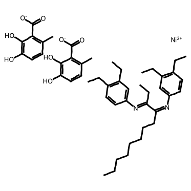 CCCCCCCCC(=Nc1ccc(CC)c(CC)c1)C(CC)=Nc1ccc(CC)c(CC)c1.Cc1ccc(O)c(O)c1C(=O)[O-].Cc1ccc(O)c(O)c1C(=O)[O-].[Ni+2]